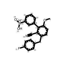 COc1ccc(Cc2ccc(F)cc2)c(C#N)c1-c1cccc([NH+]([O-])O)c1